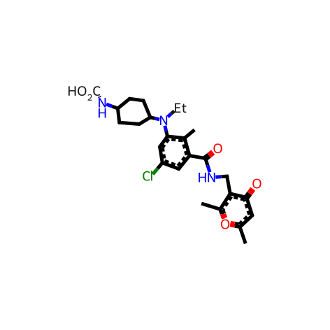 CCN(c1cc(Cl)cc(C(=O)NCc2c(C)oc(C)cc2=O)c1C)C1CCC(NC(=O)O)CC1